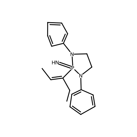 C/C=C(/CC)P1(=N)N(c2ccccc2)CCN1c1ccccc1